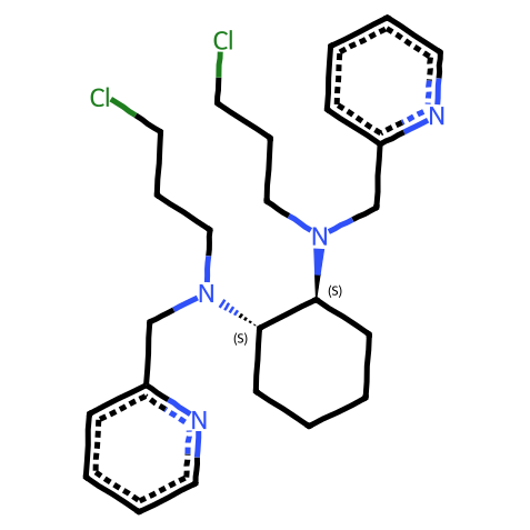 ClCCCN(Cc1ccccn1)[C@H]1CCCC[C@@H]1N(CCCCl)Cc1ccccn1